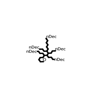 CCCCCCCCCCCCCCCCC(CCCCCCCCCCCCC)C(CCCCCCCCCCCCC)C(CCCCCCCCCCCCC)C(CCCCCCCCCCCCC)C1CCCCO1